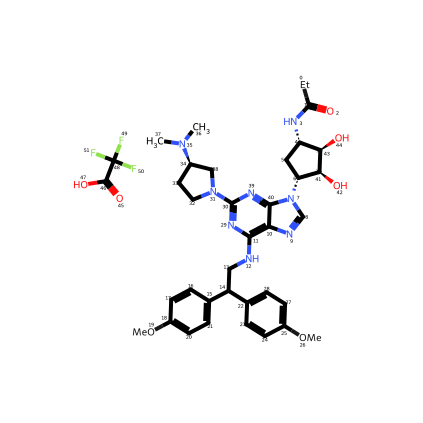 CCC(=O)N[C@H]1C[C@@H](n2cnc3c(NCC(c4ccc(OC)cc4)c4ccc(OC)cc4)nc(N4CC[C@@H](N(C)C)C4)nc32)[C@H](O)[C@@H]1O.O=C(O)C(F)(F)F